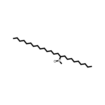 CCCCCCCCCCCCCCC(CCCCCCCCC)[S+](C)[O-]